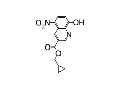 O=C(OCC1CC1)c1cnc2c(O)ccc([N+](=O)[O-])c2c1